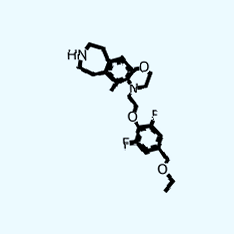 CCOCc1cc(F)c(OCCN2CCOc3cc4c(c(C)c32)CCNCC4)c(F)c1